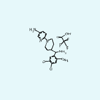 Nc1ccc(N2CCC(C(N)c3cc(Cl)c(Cl)cc3O)CC2)nc1.O=C(O)C(F)(F)F